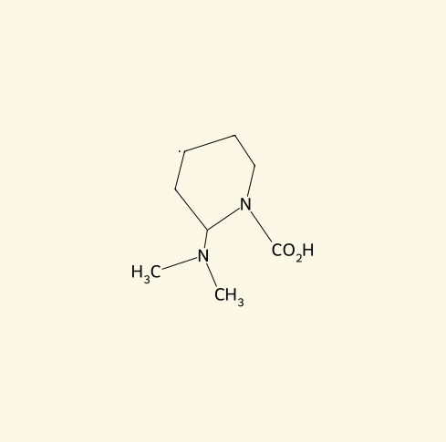 CN(C)C1C[CH]CCN1C(=O)O